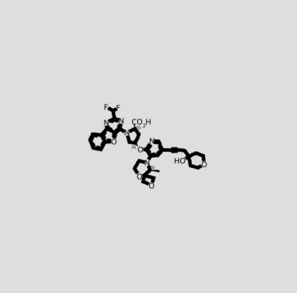 C[C@@H]1N(c2cc(C#CCC3(O)CCOCC3)cnc2O[C@H]2C[C@@H](C(=O)O)N(c3nc(C(F)F)nc4c3oc3ccccc34)C2)CCOC12COC2